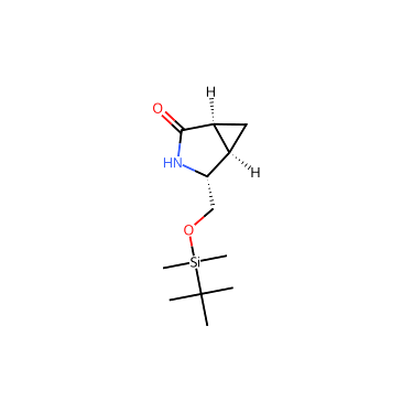 CC(C)(C)[Si](C)(C)OC[C@@H]1NC(=O)[C@H]2C[C@@H]12